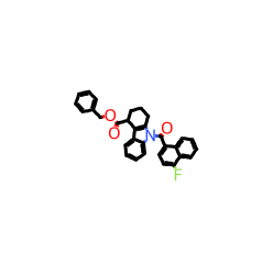 O=C(OCc1ccccc1)C1CCCc2c1c1ccccc1n2C(=O)c1ccc(F)c2ccccc12